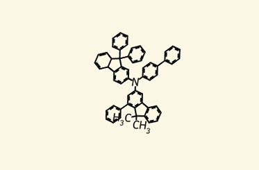 CC1(C)c2ccccc2-c2cc(N(c3ccc(-c4ccccc4)cc3)c3ccc4c(c3)C(c3ccccc3)(c3ccccc3)C3C=CC=CC43)cc(-c3ccccc3)c21